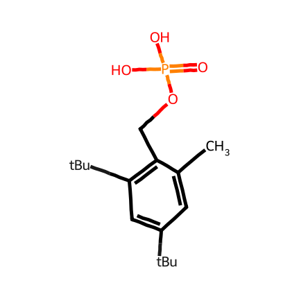 Cc1cc(C(C)(C)C)cc(C(C)(C)C)c1COP(=O)(O)O